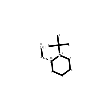 CC(C)(C)N1CCCC[C@@H]1CO